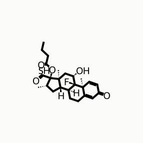 CCCC(=O)O[C@]1(C(=O)S)[C@@H](C)C[C@H]2[C@@H]3CCC4=CC(=O)C=C[C@]4(C)[C@@]3(F)[C@@H](O)C[C@@]21C